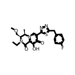 CCN1C(=O)c2c(O)c(=O)c(-c3nnc(Cc4ccc(F)cc4)s3)cn2[C@H](C)[C@@H]1COC